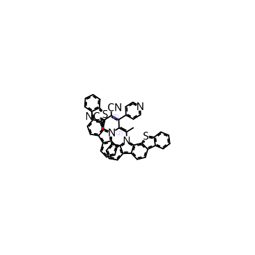 C=C(C#N)/C(C#N)=C(\C(=C(/C)n1c2ccccc2c2ccc3c4ccccc4sc3c21)n1c2ccccc2c2ccc3c4ccccc4sc3c21)c1ccncc1